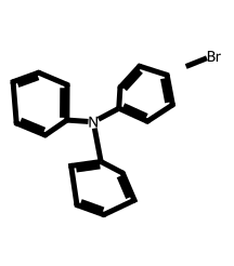 CBr.c1ccc(N(c2ccccc2)c2ccccc2)cc1